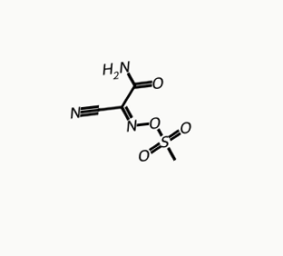 CS(=O)(=O)ON=C(C#N)C(N)=O